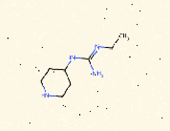 CC/N=C(\N)NC1CCNCC1